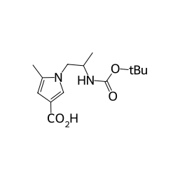 Cc1cc(C(=O)O)cn1CC(C)NC(=O)OC(C)(C)C